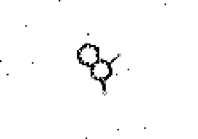 O=c1cc(F)n2ccccc2n1